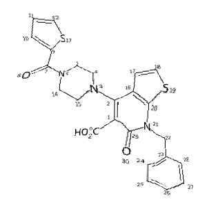 O=C(O)c1c(N2CCN(C(=O)c3cccs3)CC2)c2ccsc2n(Cc2ccccc2)c1=O